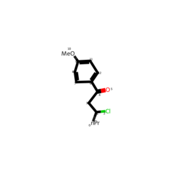 CCCC(Cl)CC(=O)c1ccc(OC)cc1